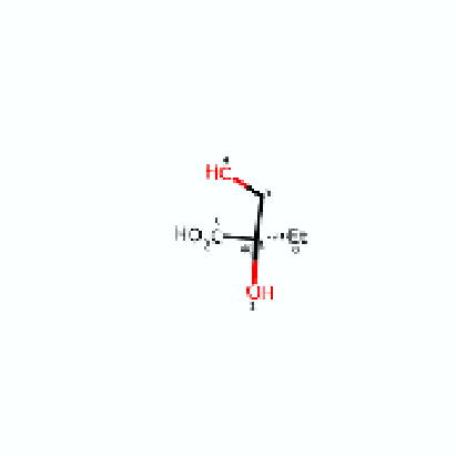 CC[C@@](O)(CO)C(=O)O